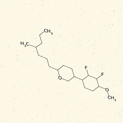 CCCC(C)CCCC1CCC(C2CCC(OC)C(F)C2F)CO1